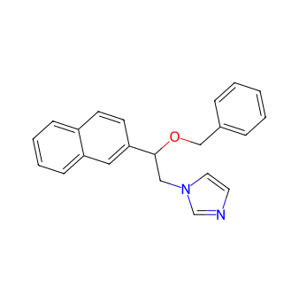 c1ccc(COC(Cn2ccnc2)c2ccc3ccccc3c2)cc1